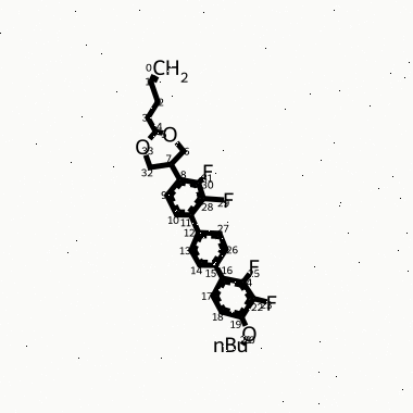 C=CCCC1OCC(c2ccc(-c3ccc(-c4ccc(OCCCC)c(F)c4F)cc3)c(F)c2F)CO1